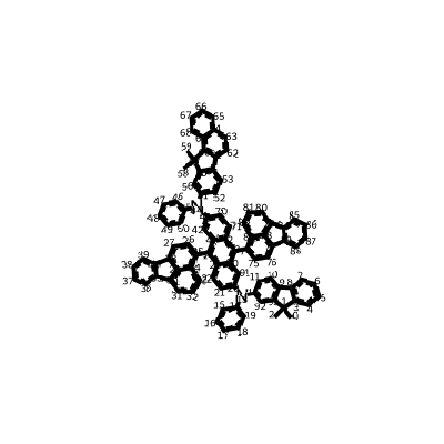 CC1(C)c2ccccc2-c2ccc(N(c3ccccc3)c3ccc4c(-c5ccc6c7c(cccc57)-c5ccccc5-6)c5cc(N(c6ccccc6)c6ccc7c(c6)C(C)(C)c6c-7ccc7ccccc67)ccc5c(-c5ccc6c7c(cccc57)-c5ccccc5-6)c4c3)cc21